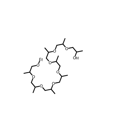 CCOCC(C)OCC(C)OCC(C)OCC(C)OCC(C)OCC(C)OCC(C)OCC(C)O